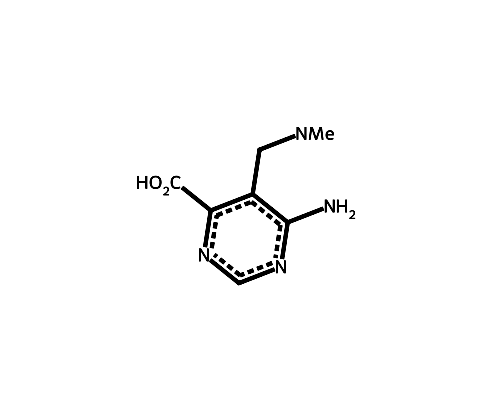 CNCc1c(N)ncnc1C(=O)O